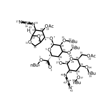 CCCCOC(=O)[C@@H]1O[C@@H](O[C@@H]2C3CO[C@H](O3)C(N=[N+]=[N-])C2OC(C)=O)[C@@H](OCCCC)C(OCCCC)[C@@H]1O[C@H]1O[C@@H](COC(C)=O)[C@@H](OCCCC)[C@H](OCCCC)C1N=[N+]=[N-]